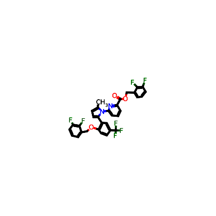 Cc1ccc(-c2cc(C(F)(F)F)ccc2OCc2cccc(F)c2F)n1-c1cccc(C(=O)OCc2cccc(F)c2F)n1